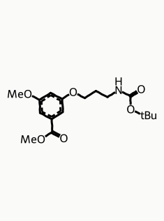 COC(=O)c1cc(OC)cc(OCCCNC(=O)OC(C)(C)C)c1